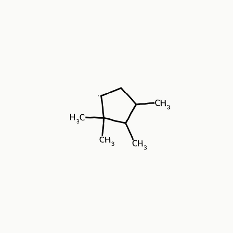 CC1C[CH]C(C)(C)C1C